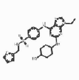 CCn1cnc2c(Nc3ccc(S(=O)(=O)NCc4ccco4)cc3)nc(NC3CCC(O)CC3)nc21